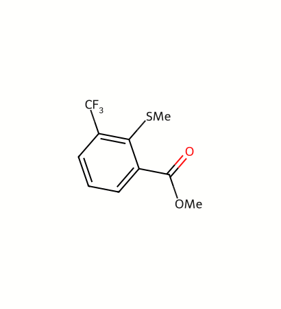 COC(=O)c1cccc(C(F)(F)F)c1SC